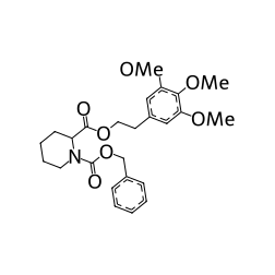 COc1cc(CCOC(=O)C2CCCCN2C(=O)OCc2ccccc2)cc(OC)c1OC